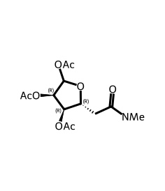 CNC(=O)C[C@H]1OC(OC(C)=O)[C@H](OC(C)=O)[C@@H]1OC(C)=O